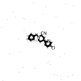 N#CC1CC(c2ccc(Cl)cn2)CCN1Cc1ccccc1